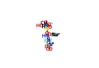 C[C@@H](O)[C@@H]1C(=O)N2C(C(=O)[O-])=C(SCCOC(=O)NC3CCN(c4c(F)cc5c(=O)c(C(=O)[O-])cn(C6CC6)c5c4F)C3)S[C@H]12.[Na+].[Na+]